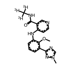 [2H]C([2H])([2H])NC(=O)c1cnccc1Nc1cccc(-c2ncn(C)n2)c1OC